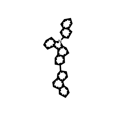 c1ccc2cc(-n3c4ccccc4c4c5ccc(-c6ccc7c(ccc8ccccc87)c6)cc5ccc43)ccc2c1